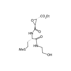 CCOC(=O)[C@H]1O[C@@H]1C(=O)N[C@@H](CCSC)C(=O)NCCO